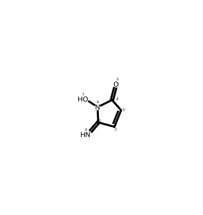 N=C1C=CC(=O)N1O